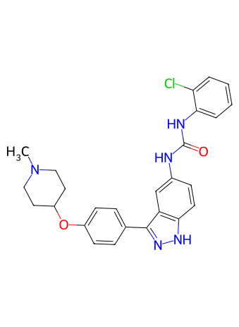 CN1CCC(Oc2ccc(-c3n[nH]c4ccc(NC(=O)Nc5ccccc5Cl)cc34)cc2)CC1